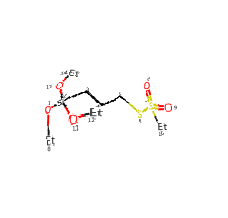 CCO[Si](CCCSS(=O)(=O)CC)(OCC)OCC